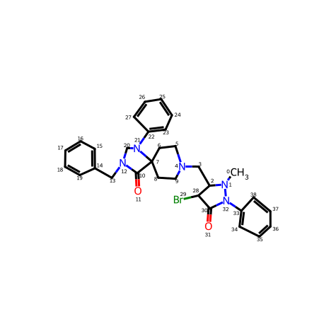 CN1C(CN2CCC3(CC2)C(=O)N(Cc2ccccc2)CN3c2ccccc2)C(Br)C(=O)N1c1ccccc1